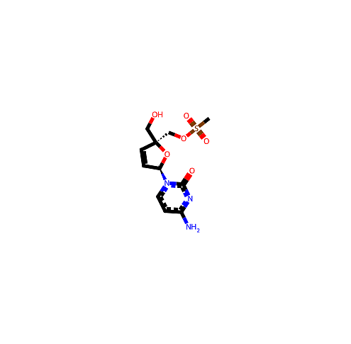 CS(=O)(=O)OC[C@@]1(CO)C=C[C@H](n2ccc(N)nc2=O)O1